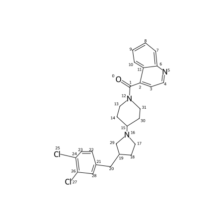 O=C(c1ccnc2ccccc12)N1CCC(N2CCC(Cc3ccc(Cl)c(Cl)c3)C2)CC1